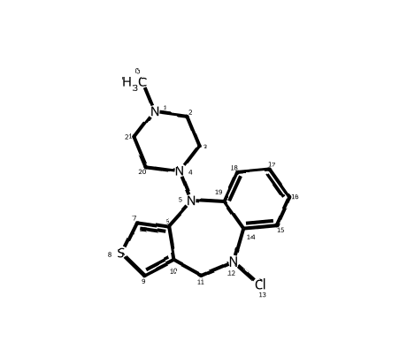 CN1CCN(N2c3cscc3CN(Cl)c3ccccc32)CC1